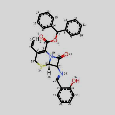 C=CC1=C(C(=O)OC(c2ccccc2)c2ccccc2)N2C(=O)C(N=Cc3ccccc3O)[C@@H]2SC1